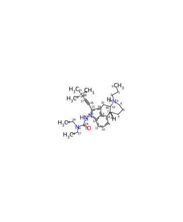 CCCN1CCC[C@@H]2c3cccc4c3c(c(C#C[Si](C)(C)C)n4NC(=O)N(CC)CC)C[C@H]21